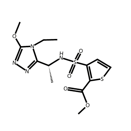 CCn1c(OC)nnc1[C@@H](C)NS(=O)(=O)c1ccsc1C(=O)OC